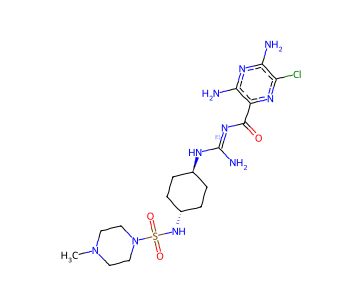 CN1CCN(S(=O)(=O)N[C@H]2CC[C@H](N/C(N)=N/C(=O)c3nc(Cl)c(N)nc3N)CC2)CC1